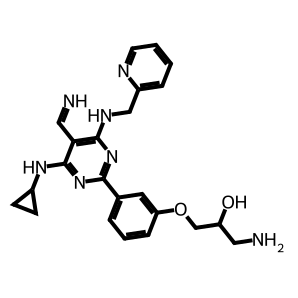 N=Cc1c(NCc2ccccn2)nc(-c2cccc(OCC(O)CN)c2)nc1NC1CC1